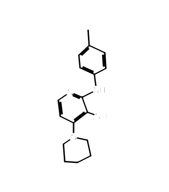 Cc1ccc(Nc2nccc(N3C[CH]CCC3)c2N)cc1